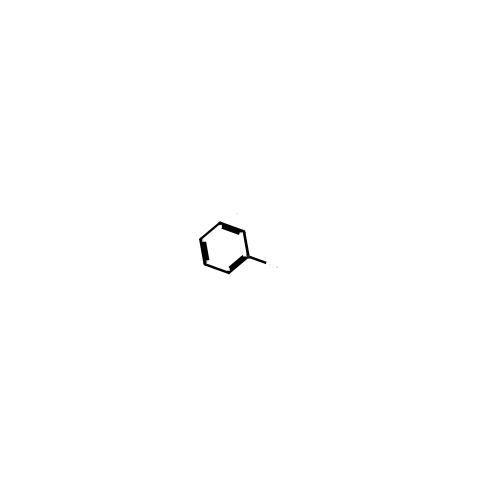 Cl.[Mn][c]1ccccc1